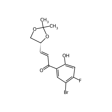 CC1(C)OC[C@@H](/C=C/C(=O)c2cc(Br)c(F)cc2O)O1